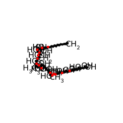 C=C/C=C/CC/C=C/C=C/C=C/CC/C=C/C(O)C(O)C1OC(C(O)C(O)C(=C)CCC(O)C2CC(C)C(O)C(C(O)C(O)/C=C(\C)CCC(O)CC(O)C(O)C(C)C(O)CCCC(O)CCCC(O)CCCC(O)/C=C/CC(O)/C=C/CC(O)CO)O2)CC(O)C1O